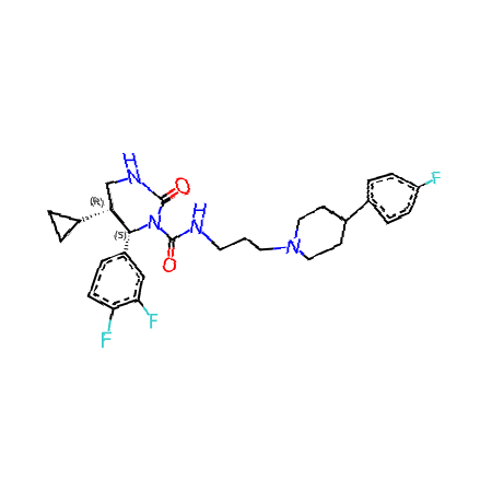 O=C(NCCCN1CCC(c2ccc(F)cc2)CC1)N1C(=O)NC[C@@H](C2CC2)[C@H]1c1ccc(F)c(F)c1